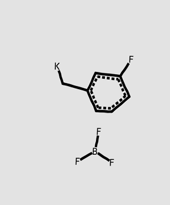 FB(F)F.Fc1cccc([CH2][K])c1